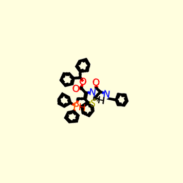 O=C(OC(c1ccccc1)c1ccccc1)C1=C(C[PH](c2ccccc2)(c2ccccc2)c2ccccc2)CS[C@H]2C(N=Cc3ccccc3)C(=O)N12